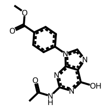 COC(=O)c1ccc(-n2cnc3c(O)nc(NC(C)=O)nc32)cc1